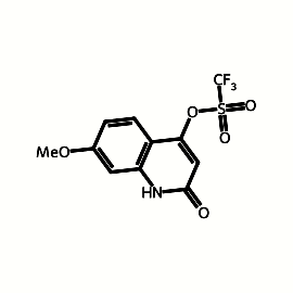 COc1ccc2c(OS(=O)(=O)C(F)(F)F)cc(=O)[nH]c2c1